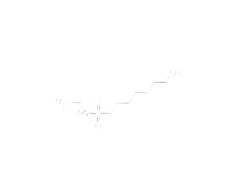 [CH2]CNS(=O)(=O)CCCCCCCC